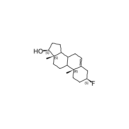 C[C@]12CC[C@H](F)CC1=CCC1C2CC[C@@]2(C)C1CC[C@@H]2O